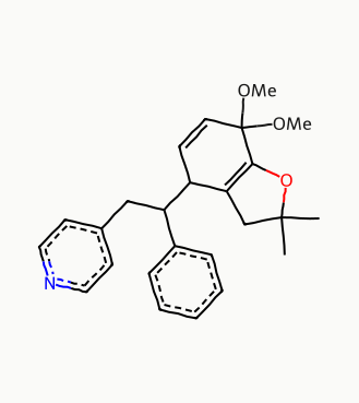 COC1(OC)C=CC(C(Cc2ccncc2)c2ccccc2)C2=C1OC(C)(C)C2